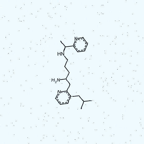 CC(C)Cc1cccnc1CC(N)CCCNC(C)c1ccccn1